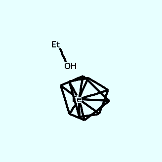 CCO.[CH]12[CH]3[CH]4[CH]5[CH]1[Fe]23451678[CH]2[CH]1[CH]6[CH]7[CH]28